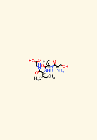 CC[C@H](C)[C@H](NC(=O)[C@H](C)NC(=O)[C@@H](N)CO)C(=O)NCC(=O)O